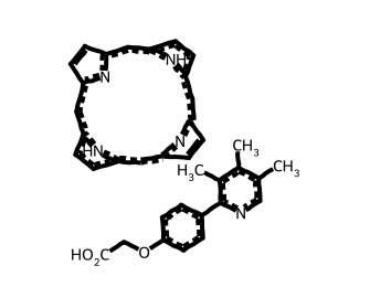 C1=Cc2cc3ccc(cc4nc(cc5ccc(cc1n2)[nH]5)C=C4)[nH]3.Cc1cnc(-c2ccc(OCC(=O)O)cc2)c(C)c1C